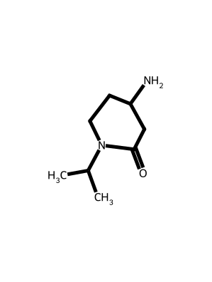 CC(C)N1CCC(N)CC1=O